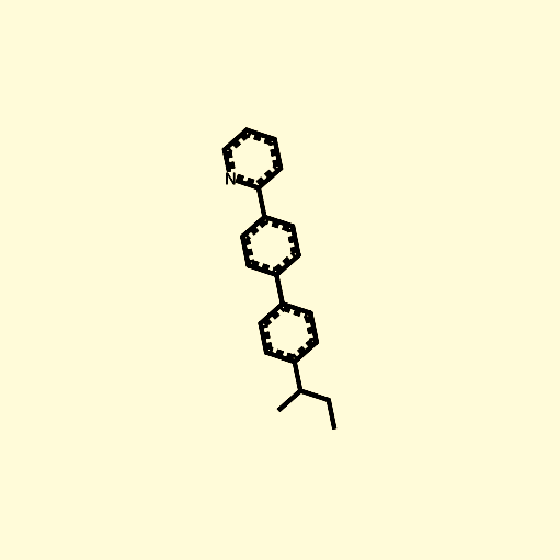 CCC(C)c1ccc(-c2ccc(-c3ccccn3)cc2)cc1